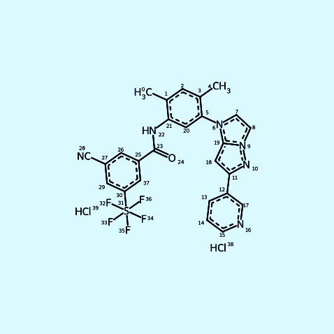 Cc1cc(C)c(-n2ccn3nc(-c4cccnc4)cc23)cc1NC(=O)c1cc(C#N)cc(S(F)(F)(F)(F)F)c1.Cl.Cl